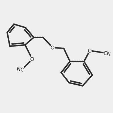 N#COc1ccccc1COCc1ccccc1OC#N